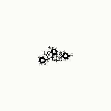 Cc1c(Br)ccc(NS(=O)(=O)c2ccc(F)cc2)c1C(=O)OCc1ccccc1